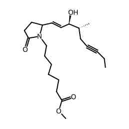 CCC#CC[C@@H](C)[C@H](O)C=CC1CCC(=O)N1CCCCCCC(=O)OC